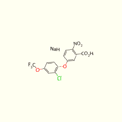 O=C(O)c1cc(Oc2ccc(OC(F)(F)F)cc2Cl)ccc1[N+](=O)[O-].[NaH]